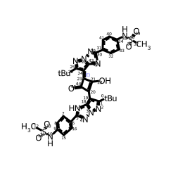 CC(C)(C)c1nn2nc(-c3ccc(NS(C)(=O)=O)cc3)[nH]c2c1C1=C(O)/C(=c2/c(C(C)(C)C)nn3nc(-c4ccc(NS(C)(=O)=O)cc4)nc23)C1=O